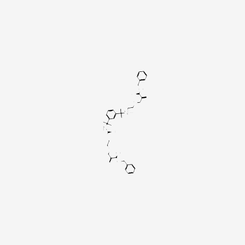 C=C(CSCCNC(C)(C)c1cccc(C(C)(C)NC(=O)OCCSCC(=C)C(=O)OCc2ccccc2)c1)C(=O)OCc1ccccc1